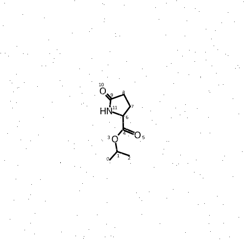 CC(C)OC(=O)C1CCC(=O)N1